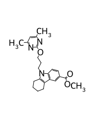 COC(=O)c1ccc2c(c1)c1c(n2CCCOc2nc(C)cc(C)n2)CCCC1